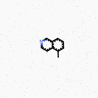 Cc1cccc2cnc[c]c12